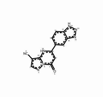 N#Cc1cnn2c(=O)cc(-c3ccc4[nH]nnc4c3)[nH]c12